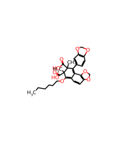 CCCCCCOC1=c2ccc3c(c2=C(c2ccc4c(c2)OCO4)C(C)(C(=O)O)C1(C)C(=O)O)OCO3